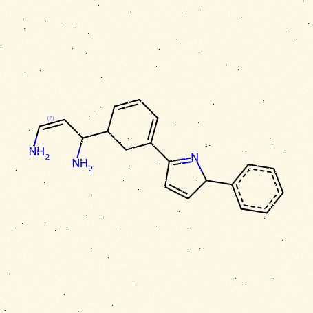 N/C=C\C(N)C1C=CC=C(C2=NC(c3ccccc3)C=C2)C1